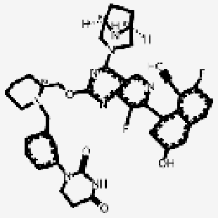 C#Cc1c(F)ccc2cc(O)cc(-c3ncc4c(N5C[C@H]6CC[C@@H](C5)N6)nc(OC[C@@H]5CCCCN5Cc5cccc(N6CCC(=O)NC6=O)c5)nc4c3F)c12